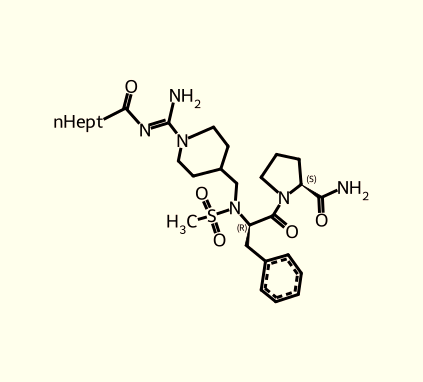 CCCCCCCC(=O)N=C(N)N1CCC(CN([C@H](Cc2ccccc2)C(=O)N2CCC[C@H]2C(N)=O)S(C)(=O)=O)CC1